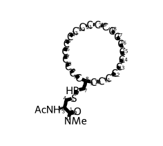 CNC(=O)[C@H](CSBCC1CCCCCCCCCCCCCCCCCCCCCC1)NC(C)=O